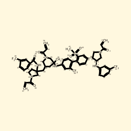 C=CC(=O)N1C[C@@H](Nc2cccc(C(F)(F)F)c2)[C@H](c2ccc(-c3ccc(NC4(C)CC(CC5(NC(=O)c6cccc(C(F)(F)F)c6)CCN(C(=O)C=C)C5)CN(C(=O)C=C)C4)cc3C(F)(F)F)c(S(C)(=O)=O)c2)C1